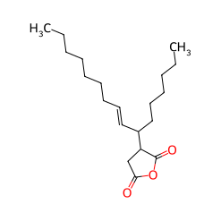 CCCCCCCC=CC(CCCCCC)C1CC(=O)OC1=O